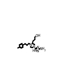 Cc1ccc(CCCN2CCN(c3nc(N)n[nH]3)CC2CCCO)cc1